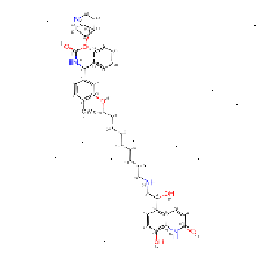 COc1ccc(C(NC(=O)OC2CN3CCC2CC3)c2ccccc2)cc1OCCCCCCCCCNCC(O)c1ccc(O)c2[nH]c(=O)ccc12